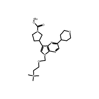 CC(C)(C)OC(=O)N1CCC(c2cn(COCC[Si](C)(C)C)c3ncc(C4CCOCC4)nc23)C1